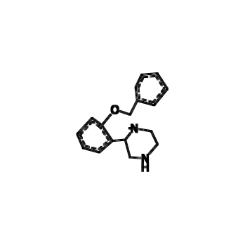 c1ccc(COc2ccccc2C2CNCC[N]2)cc1